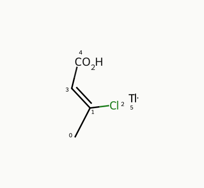 C/C(Cl)=C/C(=O)O.[Tl]